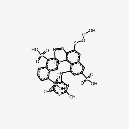 Cc1nc(Cl)nc(Nc2cc(S(=O)(=O)O)cc3cc(SOOO)c(/N=N\c4ccc5c(S(=O)(=O)O)cccc5c4S(=O)(=O)O)c(O)c23)n1